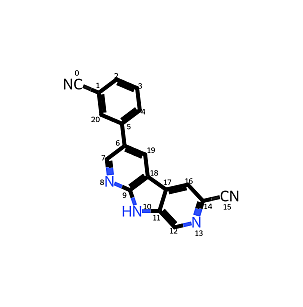 N#Cc1cccc(-c2cnc3[nH]c4cnc(C#N)cc4c3c2)c1